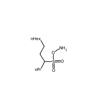 CCCCCCCCC(CCC)S(=O)(=O)ON